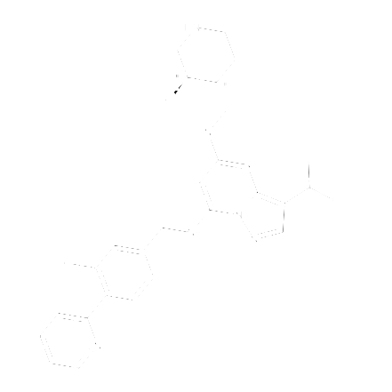 Cc1cc(CNc2cc(NC[C@H]3CCNC[C@@H]3O)nc3c(C(C)C)cnn23)ccc1-c1ccccn1